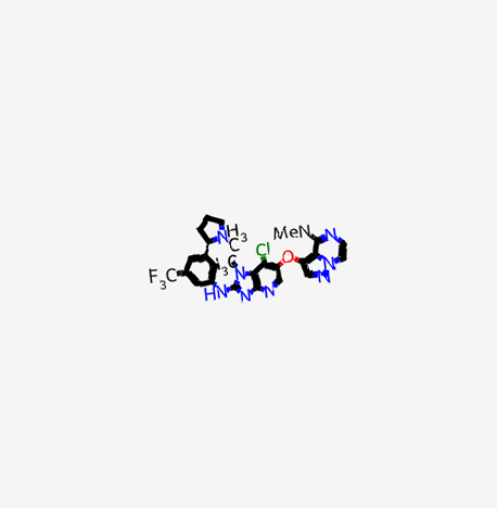 CNc1nccn2ncc(Oc3cnc4nc(Nc5cc([C@H]6CCCN6C)cc(C(F)(F)F)c5)n(C)c4c3Cl)c12